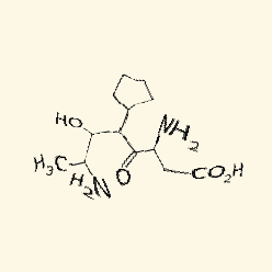 CC(N)C(O)C(C(=O)[C@@H](N)CC(=O)O)C1CCCC1